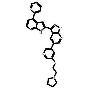 c1ccc(-c2ccnc3[nH]c(-c4n[nH]c5ncc(-c6cncc(OCCN7CCCC7)c6)cc45)cc23)nc1